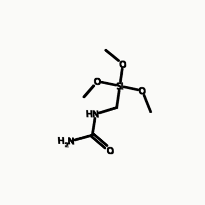 CO[Si](CNC(N)=O)(OC)OC